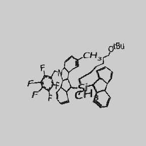 CC1=CC2C3C(C4C=CC=CC4C3[Si](C)(CCCCCCOC(C)(C)C)C3C4C=CC=CC4C4C=CC=CC43)N(Cc3c(F)c(F)c(F)c(F)c3F)C2C=C1